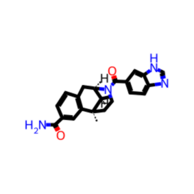 C[C@@H]1[C@H]2Cc3ccc(C(N)=O)cc3[C@]1(C)CCN2C(=O)c1ccc2nc[nH]c2c1